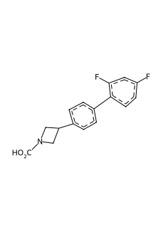 O=C(O)N1CC(c2ccc(-c3ccc(F)cc3F)cc2)C1